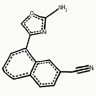 N#Cc1ccc2cccc(-c3coc(N)n3)c2c1